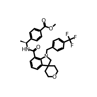 COC(=O)c1ccc([C@H](C)NC(=O)c2cccc3c2N(Cc2ccc(C(F)(F)F)cc2)CC32CCOCC2)cc1